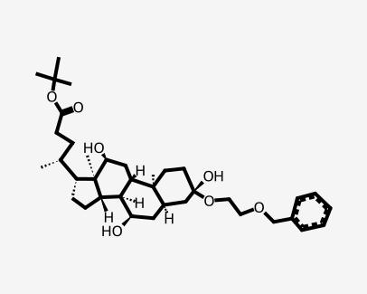 C[C@H](CCC(=O)OC(C)(C)C)[C@H]1CC[C@H]2[C@@H]3[C@H](O)C[C@@H]4C[C@@](O)(OCCOCc5ccccc5)CC[C@]4(C)[C@H]3C[C@H](O)[C@]12C